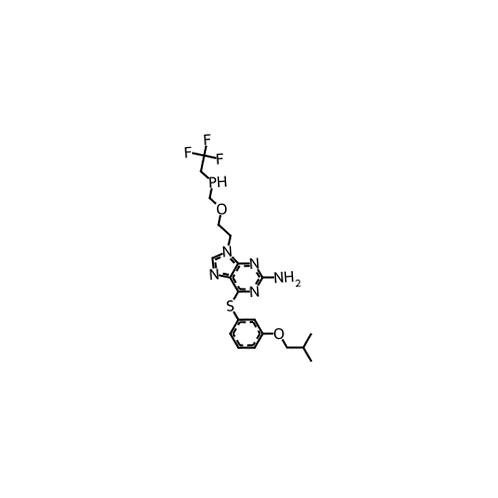 CC(C)COc1cccc(Sc2nc(N)nc3c2ncn3CCOCPCC(F)(F)F)c1